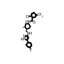 C[C@H]1C[C@@H](NC(=O)c2cc(C(F)(F)F)ccc2Cl)CC[C@@H]1CNc1cc(-c2ccc(F)cc2)[nH]n1